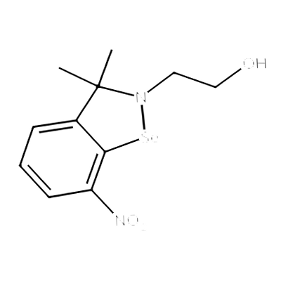 CC1(C)c2cccc([N+](=O)[O-])c2[Se]N1CCO